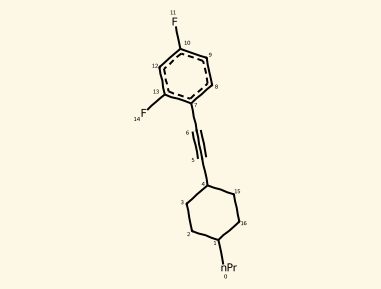 CCCC1CCC(C#Cc2ccc(F)cc2F)CC1